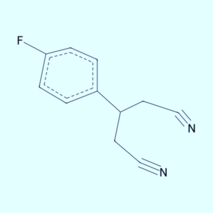 N#CCC(CC#N)c1ccc(F)cc1